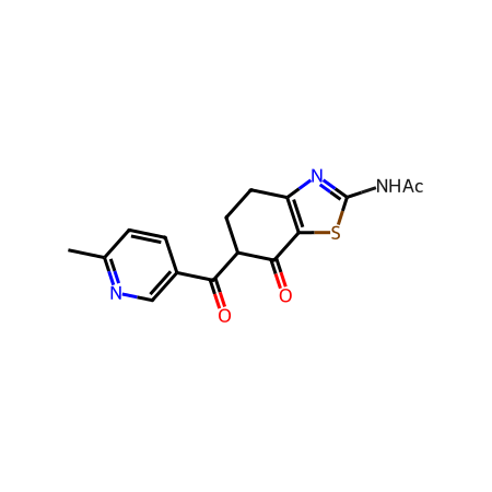 CC(=O)Nc1nc2c(s1)C(=O)C(C(=O)c1ccc(C)nc1)CC2